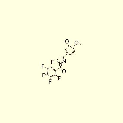 COc1ccc(C2=NN(C(=O)c3c(F)c(F)c(F)c(F)c3F)CC2)cc1OC